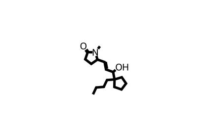 CCCCC1(C(O)/C=C/C2CCC(=O)N2C)CCCC1